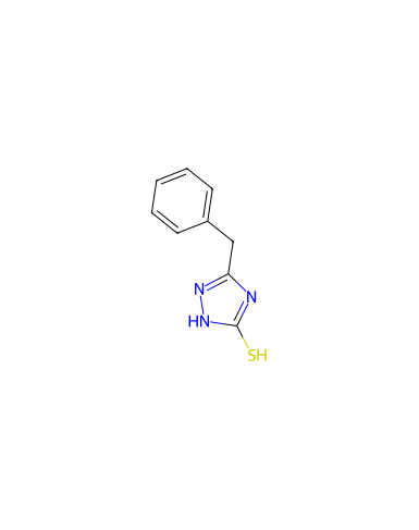 Sc1nc(Cc2ccccc2)n[nH]1